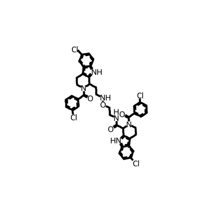 O=C(NCCONCCC1c2[nH]c3ccc(Cl)cc3c2CCN1C(=O)c1cccc(Cl)c1)C1c2[nH]c3ccc(Cl)cc3c2CCN1C(=O)c1cccc(Cl)c1